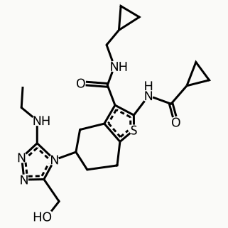 CCNc1nnc(CO)n1C1CCc2sc(NC(=O)C3CC3)c(C(=O)NCC3CC3)c2C1